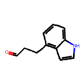 O=CCCc1cccc2[nH]ccc12